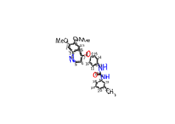 COc1cc2nccc(Oc3ccc(NC(=O)Nc4cccc(C)c4)cc3)c2cc1OC